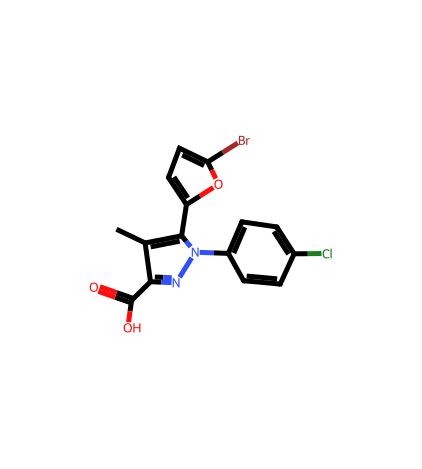 Cc1c(C(=O)O)nn(-c2ccc(Cl)cc2)c1-c1ccc(Br)o1